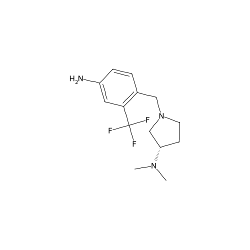 CN(C)[C@H]1CCN(Cc2ccc(N)cc2C(F)(F)F)C1